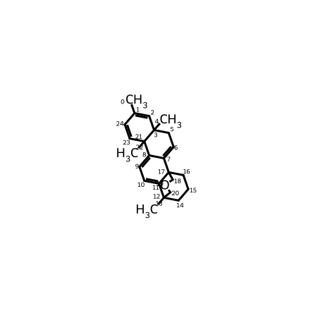 CC1=CC2(C)CC=C3C(=CC=C4C5(C)CCCC34COC5)C2(C)C=C1